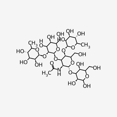 CC(=O)N[C@H]1C(O[C@@H]2OC(CO)[C@H](O)C(O)[C@@H]2O[C@@H]2OC(C)[C@@H](O)C(O)[C@@H]2O)[C@@H](O[C@@H]2OC(C)[C@@H](O)[C@H](O)C2O)C(CO)O[C@@H]1OC1[C@H](O)C(O)OC(CO)[C@@H]1O